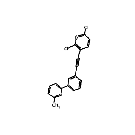 Cc1cccc(-c2cccc(C#Cc3ccc(Cl)nc3Cl)c2)c1